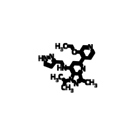 CCOc1cnccc1-c1cc(NCc2cc[nH]n2)c2c(n1)c(C)nn2C(C)C